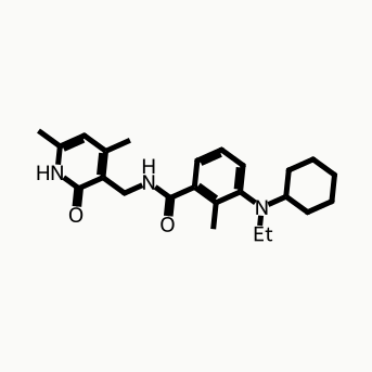 CCN(c1cccc(C(=O)NCc2c(C)cc(C)[nH]c2=O)c1C)C1CCCCC1